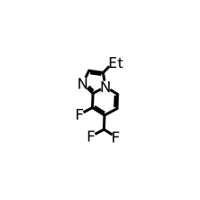 CCc1cnc2c(F)c(C(F)F)ccn12